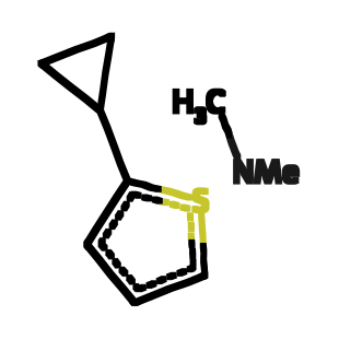 CNC.c1csc(C2CC2)c1